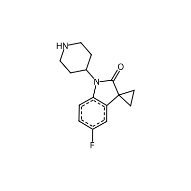 O=C1N(C2CCNCC2)c2ccc(F)cc2C12CC2